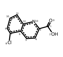 O=C(O)c1ccc2c(Cl)cccc2n1